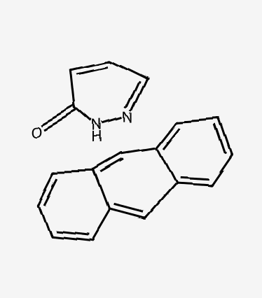 O=c1cccn[nH]1.c1ccc2cc3ccccc3cc2c1